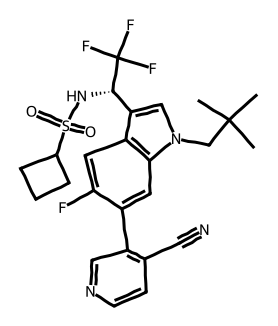 CC(C)(C)Cn1cc([C@H](NS(=O)(=O)C2CCC2)C(F)(F)F)c2cc(F)c(-c3cnccc3C#N)cc21